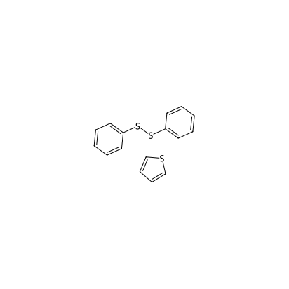 c1ccc(SSc2ccccc2)cc1.c1ccsc1